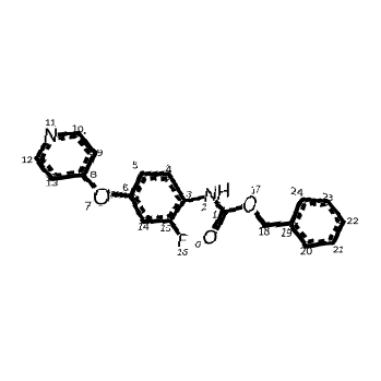 O=C(Nc1ccc(Oc2c[c]ncc2)cc1F)OCc1ccccc1